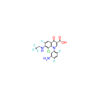 Nc1cc(-n2cc(C(=O)O)c(=O)c3cc(F)c(NCC(F)(F)F)c(Cl)c32)c(F)cc1F